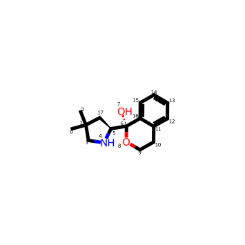 CC1(C)CN[C@H]([C@]2(O)OCCc3ccccc32)C1